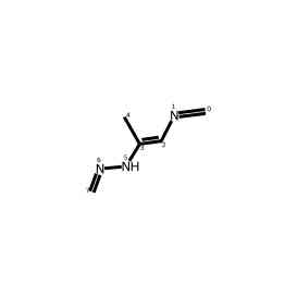 C=N/C=C(\C)NN=C